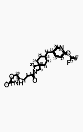 O=C1N[C@H](CCC(=O)N2CC3(CCC(Cc4ccc(OC(F)F)nc4)CC3)C2)CO1